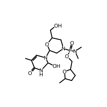 CC1=CN(C2CN(P(=O)(OCC3CCC(C)O3)N(C)C)CC(CO)O2)C(O)NC1=O